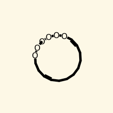 C1=CCCOOOOOOC=CCCCCCC1